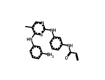 Bc1cccc(Nc2nc(Nc3cccc(NC(=O)C=C)c3)ncc2C)c1